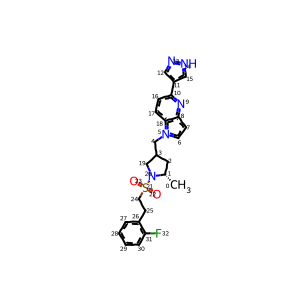 C[C@H]1CC(Cn2ccc3nc(-c4cn[nH]c4)ccc32)CN1S(=O)(=O)CCc1ccccc1F